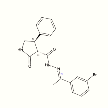 C/C(=N\NC(=O)[C@@H]1C(=O)NC[C@H]1c1ccccc1)c1cccc(Br)c1